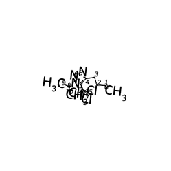 CCCCc1nnn(C(C)C)c1C(Cl)(Cl)Cl